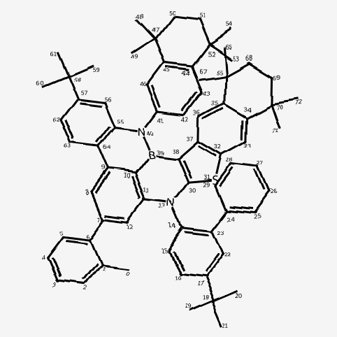 Cc1ccccc1-c1cc2c3c(c1)N(c1ccc(C(C)(C)C)cc1-c1ccccc1)c1sc4cc5c(cc4c1B3N(c1ccc3c(c1)C(C)(C)CCC3(C)C)c1cc(C(C)(C)C)ccc1-2)C(C)(C)CCC5(C)C